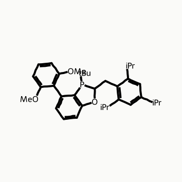 COc1cccc(OC)c1-c1cccc2c1P(C(C)(C)C)C(Cc1c(C(C)C)cc(C(C)C)cc1C(C)C)O2